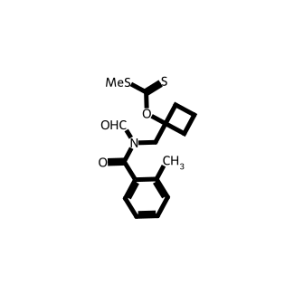 CSC(=S)OC1(CN(C=O)C(=O)c2ccccc2C)CCC1